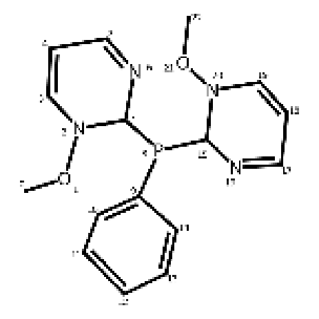 CON1C=CC=NC1P(c1ccccc1)C1N=CC=CN1OC